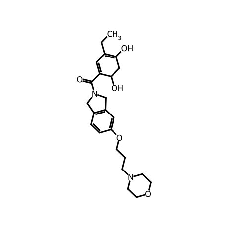 CCC1=C(O)CC(O)C(C(=O)N2Cc3ccc(OCCCN4CCOCC4)cc3C2)=C1